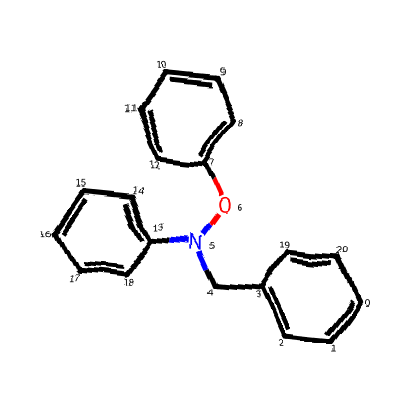 c1ccc(CN(Oc2ccccc2)c2ccccc2)cc1